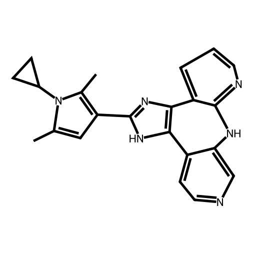 Cc1cc(-c2nc3c([nH]2)-c2ccncc2Nc2ncccc2-3)c(C)n1C1CC1